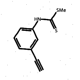 C#Cc1cccc(NC(=S)SC)c1